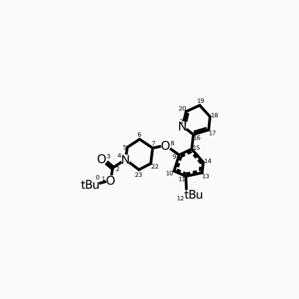 CC(C)(C)OC(=O)N1CCC(Oc2cc(C(C)(C)C)ccc2C2=CCCC=N2)CC1